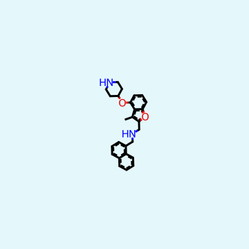 Cc1c(CNCc2cccc3ccccc23)oc2cccc(OC3CCNCC3)c12